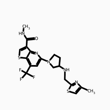 CNC(=O)c1csc2c(C(F)(F)F)cc(N3CCC(NCc4nc(C)cs4)C3)nc12